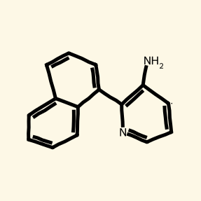 Nc1[c]ccnc1-c1cccc2ccccc12